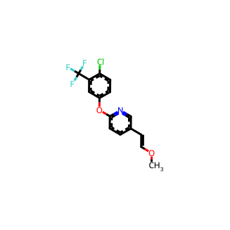 COC=Cc1ccc(Oc2ccc(Cl)c(C(F)(F)F)c2)nc1